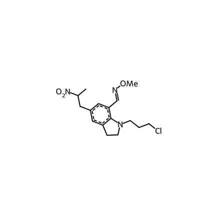 CON=Cc1cc(CC(C)[N+](=O)[O-])cc2c1N(CCCCl)CC2